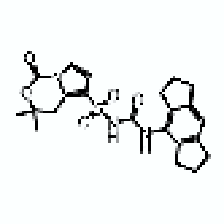 CC1(C)Cc2c(S(=O)(=O)NC(=O)Nc3c4c(cc5c3CCC5)CCC4)ccn2C(=O)O1